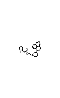 O=C(NC1CCCC1)OCCN1CCCC(N2CCc3cncc4cccc2c34)C1